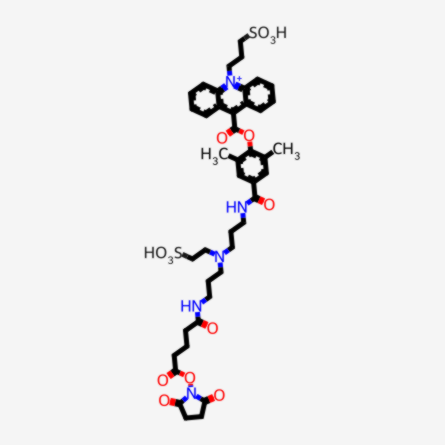 Cc1cc(C(=O)NCCCN(CCCNC(=O)CCCC(=O)ON2C(=O)CCC2=O)CCS(=O)(=O)O)cc(C)c1OC(=O)c1c2ccccc2[n+](CCCS(=O)(=O)O)c2ccccc12